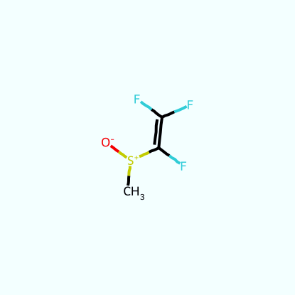 C[S+]([O-])C(F)=C(F)F